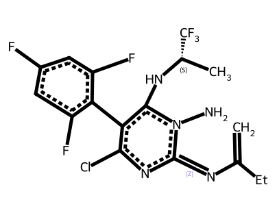 C=C(CC)/N=c1/nc(Cl)c(-c2c(F)cc(F)cc2F)c(N[C@@H](C)C(F)(F)F)n1N